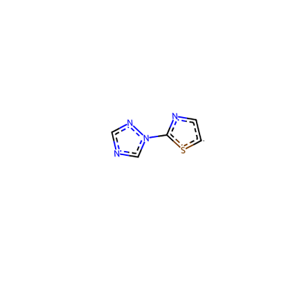 [c]1cnc(-n2cncn2)s1